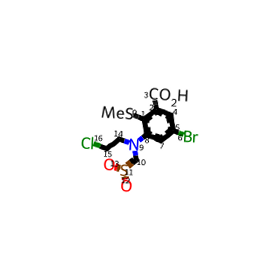 CSc1c(C(=O)O)cc(Br)cc1N(C=S(=O)=O)CCCl